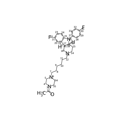 CC(=O)N1CCN(CCCCCCN2CC[C@@H]3[C@@H](C2)c2cc(F)ccc2N3c2ccc(F)cc2)CC1